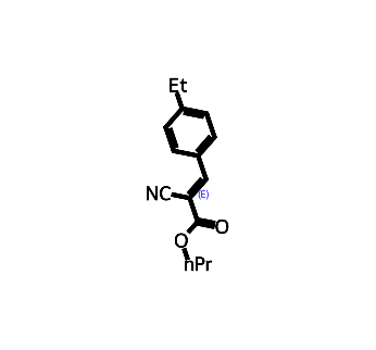 CCCOC(=O)/C(C#N)=C/c1ccc(CC)cc1